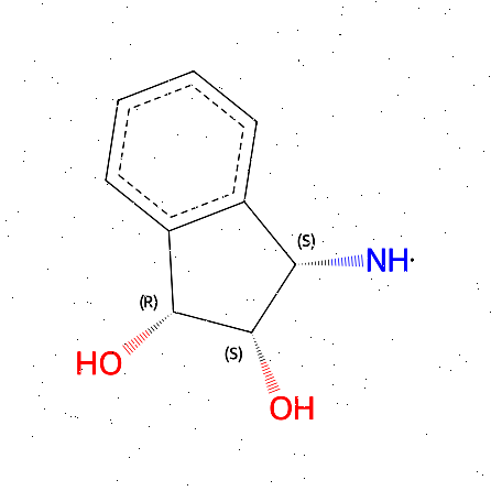 [NH][C@H]1c2ccccc2[C@@H](O)[C@H]1O